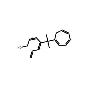 C=C/C=C(\C=C/CO)C(C)(C)C1=CC=CC=CC1